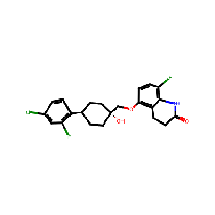 O=C1CCc2c(OC[C@]3(O)CC[C@H](c4ccc(Cl)cc4F)CC3)ccc(F)c2N1